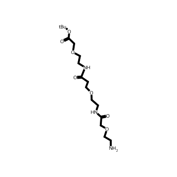 CC(C)(C)OC(=O)COCCNC(=O)CCOCCNC(=O)COCCN